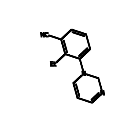 CCc1c(C#N)cccc1N1C=CC=NC1